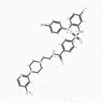 Cc1ccnc(N2CCN(CCNC(=O)c3ccc(S(=O)(=O)Nc4cc(F)ccc4Oc4ccc(Br)cc4)cc3)CC2)c1